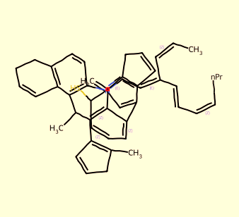 C=CC(/C1=C\C=C/C(S)C2C=C1C1=C2CC=C1)=C(/C1=C(C)CC=C1)C(C)c1c(/N=C/C=C(C=C/C=C\CCC)\C=C/C)ccc2c1C=CCC2